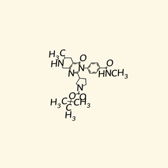 CNC(=O)c1ccc(-n2c(C3CCN(C(=O)OC(C)(C)C)C3)nc3c(c2=O)CC(C)NC3)cc1